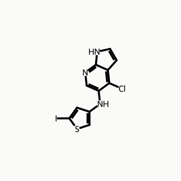 Clc1c(Nc2csc(I)c2)cnc2[nH]ccc12